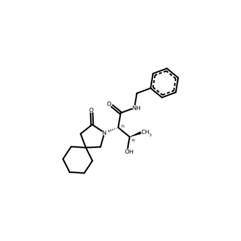 C[C@@H](O)[C@@H](C(=O)NCc1ccccc1)N1CC2(CCCCC2)CC1=O